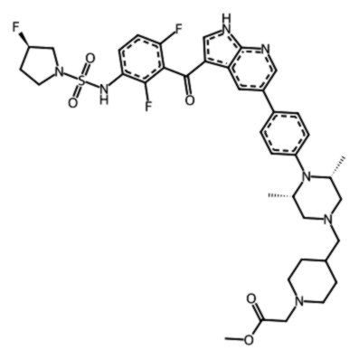 COC(=O)CN1CCC(CN2C[C@@H](C)N(c3ccc(-c4cnc5[nH]cc(C(=O)c6c(F)ccc(NS(=O)(=O)N7CC[C@@H](F)C7)c6F)c5c4)cc3)[C@@H](C)C2)CC1